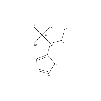 CCC(C1=CC=[C]C1)C(C)(C)C